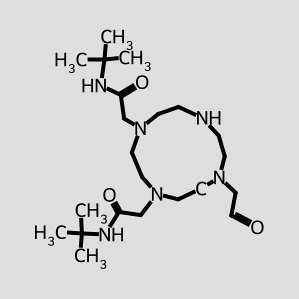 CC(C)(C)NC(=O)CN1CCNCCN(CC=O)CCN(CC(=O)NC(C)(C)C)CC1